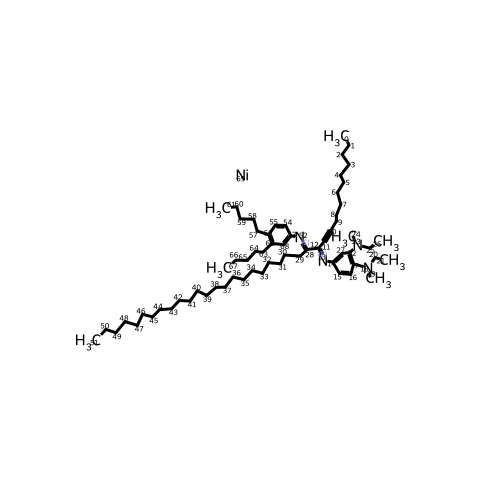 CCCCCCCCCCC#CC(=N\c1ccc(N(C)CC)c(N(C)CC)c1)/C(CCCCCCCCCCCCCCCCCCCCCCC)=N/c1ccc(CCCCC)c(CCCCC)c1.[Ni]